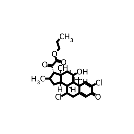 CCCOC(=O)C(=O)[C@H]1C(C)C[C@H]2[C@@H]3C(Cl)CC4=CC(=O)C(Cl)=C[C@]4(C)[C@H]3C(O)C[C@]12C